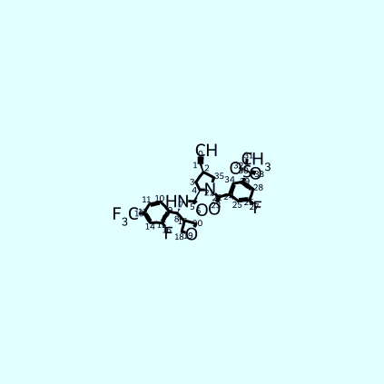 C#C[C@@H]1C[C@H](C(=O)N[C@@H](c2ccc(C(F)(F)F)cc2F)C2COC2)N(C(=O)c2cc(F)cc(S(C)(=O)=O)c2)C1